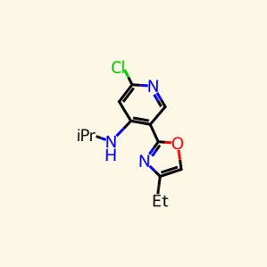 CCc1coc(-c2cnc(Cl)cc2NC(C)C)n1